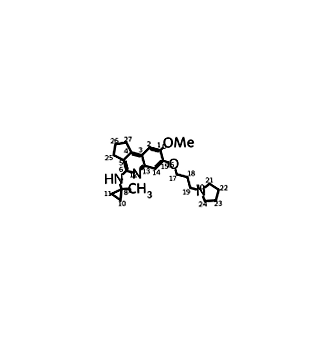 COc1cc2c3c(c(NC4(C)CC4)nc2cc1OCCCN1CCCC1)CCC3